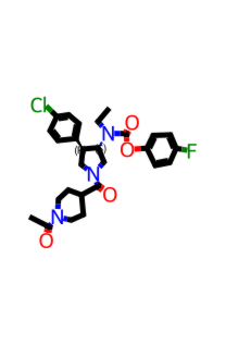 CCN(C(=O)Oc1ccc(F)cc1)[C@@H]1CN(C(=O)C2CCN(C(C)=O)CC2)C[C@H]1c1ccc(Cl)cc1